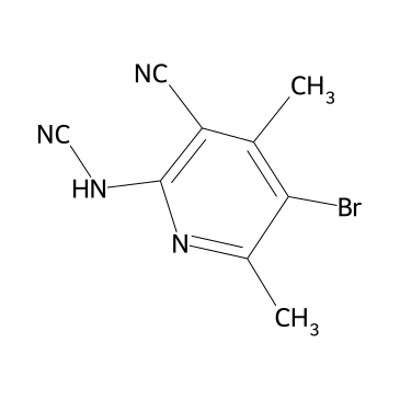 Cc1nc(NC#N)c(C#N)c(C)c1Br